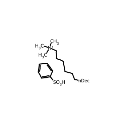 CCCCCCCCCCCCCCCC[N+](C)(C)C.O=S(=O)(O)c1ccccc1